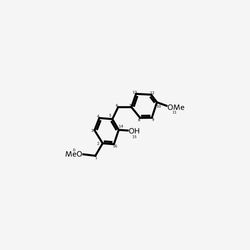 COCc1ccc(Cc2ccc(OC)cc2)c(O)c1